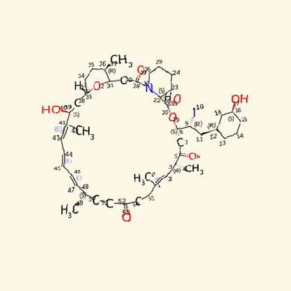 C/C1=C\[C@@H](C)C(=O)C[C@@H]([C@H](I)C[C@@H]2CCC[C@H](O)C2)OC(=O)[C@@H]2CCCCN2C(=O)CC2O[C@@H](CC[C@H]2C)C[C@H](O)/C(C)=C/C=C/C=C/[C@@H](C)CCC(=O)CC1